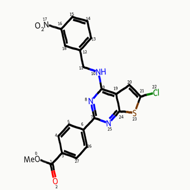 COC(=O)c1ccc(-c2nc(NCc3cccc([N+](=O)[O-])c3)c3cc(Cl)sc3n2)cc1